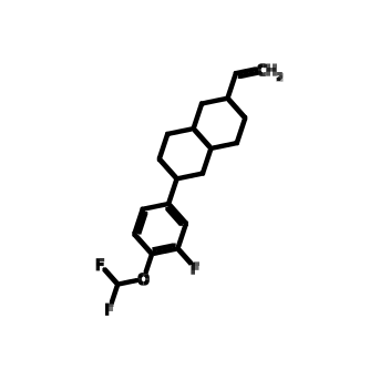 C=CC1CCC2CC(c3ccc(OC(F)F)c(F)c3)CCC2C1